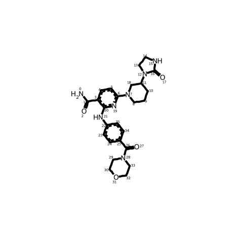 NC(=O)c1ccc(N2CCCC(N3CCNC3=O)C2)nc1Nc1ccc(C(=O)N2CCOCC2)cc1